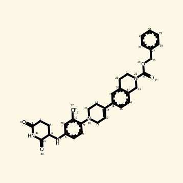 O=C1CCC(Nc2ccc(N3CC=C(c4ccc5c(c4)CCN(C(=O)OCc4ccccc4)C5)CC3)c(C(F)(F)F)c2)C(=O)N1